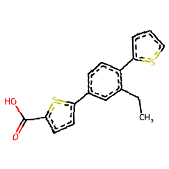 CCc1cc(-c2ccc(C(=O)O)s2)ccc1-c1cccs1